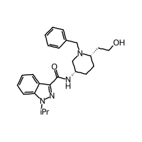 CC(C)n1nc(C(=O)N[C@H]2CC[C@@H](CCO)N(Cc3ccccc3)C2)c2ccccc21